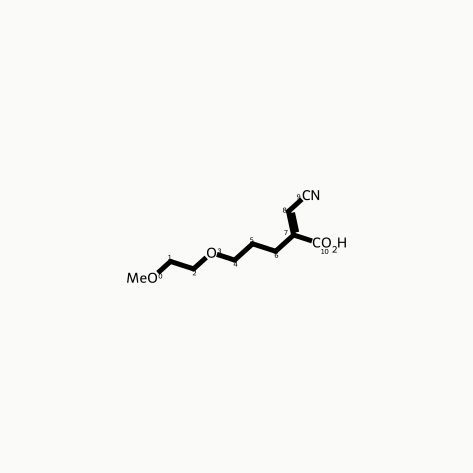 COCCOCCCC(=CC#N)C(=O)O